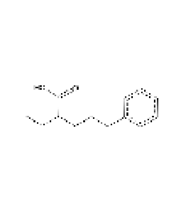 [CH2]CC(CCCc1ccccc1)C(=O)O